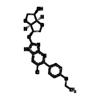 O[C@@H]1CO[C@H]2[C@@H]1OC[C@H]2Oc1nc2nc(-c3ccc(OCC(F)(F)F)cc3)c(Cl)cc2[nH]1